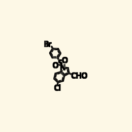 O=Cc1cn(S(=O)(=O)c2ccc(Br)cc2)c2ccc(Cl)cc12